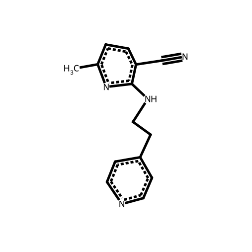 Cc1ccc(C#N)c(NCCc2ccncc2)n1